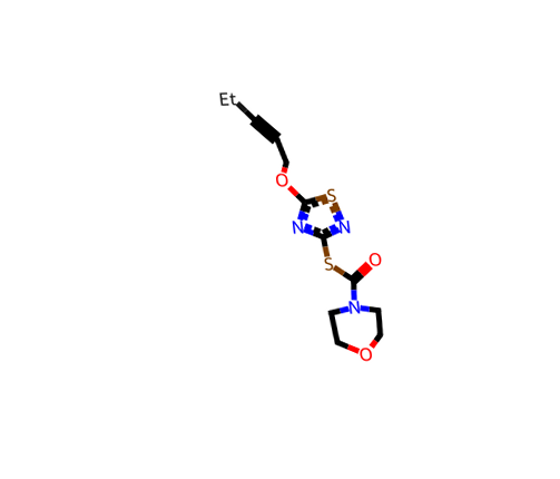 CCC#CCOc1nc(SC(=O)N2CCOCC2)ns1